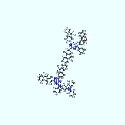 CC1(C)c2ccccc2-c2ccc(-c3nc(-c4ccc5c(c4)C(C)(C)c4cc(-c6ccc7c(c6)C(C)(C)c6cc(-c8nc(-c9ccc%10c(c9)C(C)(C)c9ccccc9-%10)nc(-n9c%10ccccc%10c%10cc%11c(cc%109)c9ccccc9n%11-c9ccccc9)n8)ccc6-7)ccc4-5)nc(-n4c5ccccc5c5cc6oc7ccccc7c6cc54)n3)cc21